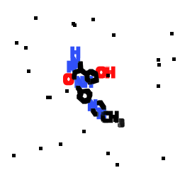 CN1CCN(c2ccc(CNC(=O)c3n[nH]cc3-c3cccc(O)c3)cc2)CC1